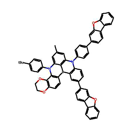 Cc1cc2c3c(c1)N(c1ccc(C(C)(C)C)cc1)c1c(ccc4c1OCCO4)B3c1cc(-c3ccc4c(c3)oc3ccccc34)ccc1N2c1ccc(-c2ccc3c(c2)oc2ccccc23)cc1